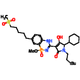 COP1(=O)N=C(C2=C(O)C(C3CCCCC3)N(CCC(C)(C)C)C2=O)Nc2ccc(CCCCCS(C)(=O)=O)cc21